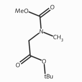 COC(=O)N(C)CC(=O)OC(C)(C)C